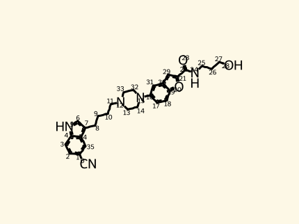 N#Cc1ccc2[nH]cc(CCCCN3CCN(c4ccc5oc(C(=O)NCCCO)cc5c4)CC3)c2c1